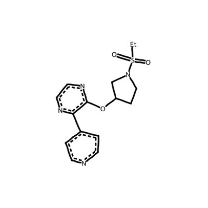 CCS(=O)(=O)N1CCC(Oc2nccnc2-c2ccncc2)C1